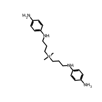 C[N+](C)(CCCNc1ccc(N)cc1)CCCNc1ccc(N)cc1